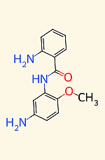 COc1ccc(N)cc1NC(=O)c1ccccc1N